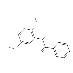 COc1ccc(OC)c(C(O)C(=O)c2ccccc2)c1